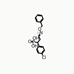 O=P(O)(O)C(C/C=N/OCc1ccccc1)c1ccc(Cl)cc1